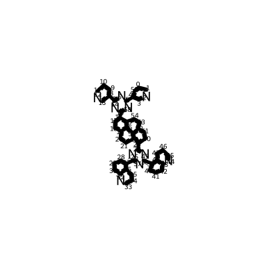 c1cncc(-c2nc(-c3cccnc3)nc(-c3ccc4ccc5c(-c6nc(-c7cccc8ncccc78)nc(-c7cccc8ncccc78)n6)ccc6ccc3c4c65)n2)c1